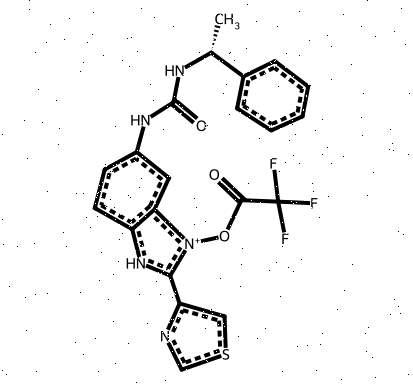 C[C@@H](NC(=O)Nc1ccc2[nH]c(-c3cscn3)[n+](OC(=O)C(F)(F)F)c2c1)c1ccccc1